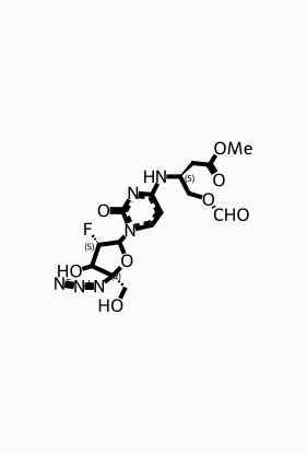 COC(=O)C[C@@H](COC=O)Nc1ccn(C2O[C@@](CO)(N=[N+]=[N-])C(O)[C@@H]2F)c(=O)n1